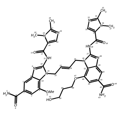 COc1cc(C(N)=O)cc2nc(NC(=O)c3cnc(C)n3C)n(CC=CCn3c(NC(=O)c4cnc(C)n4C)nc4cc(C(N)=O)cc(OCCCO)c43)c12